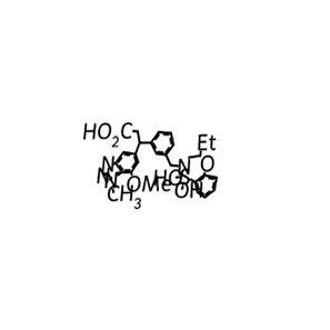 CCC1CN(Cc2cccc(C(CC(=O)O)c3cc(OC)c4c(c3)nnn4C)c2)S(O)(O)c2ccccc2O1